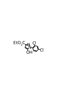 CCOC(=O)c1cc(O)n(-c2ccc(Cl)cc2Cl)n1